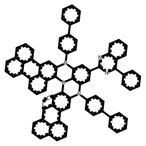 c1ccc(-c2ccc(N3c4cc(-c5nc(-c6ccccc6)c6ccccc6n5)cc5c4B(c4c3cc3c6cccc7cccc(c8cccc4c83)c76)c3c(cc4c6cccc7cccc(c8cccc3c84)c76)N5c3ccc(-c4ccccc4)cc3)cc2)cc1